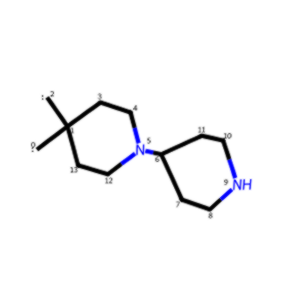 [CH]C1([CH])CCN(C2CCNCC2)CC1